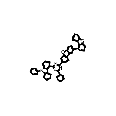 c1ccc(-c2nc(-c3ccc4c(c3)oc3ccc(-c5cccc6sc7ccccc7c56)cc34)nc(-c3cccc4c3c3ccccc3n4-c3ccccc3)n2)cc1